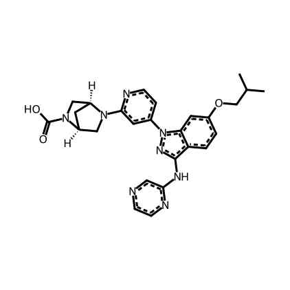 CC(C)COc1ccc2c(Nc3cnccn3)nn(-c3ccnc(N4C[C@@H]5C[C@H]4CN5C(=O)O)c3)c2c1